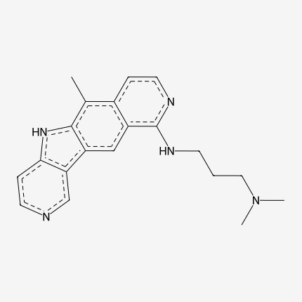 Cc1c2ccnc(NCCCN(C)C)c2cc2c1[nH]c1ccncc12